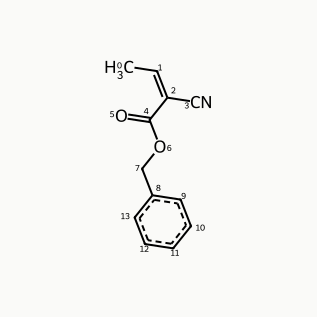 C/C=C(/C#N)C(=O)OCc1ccccc1